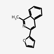 Cc1nc(-c2ccco2)cc2ccccc12